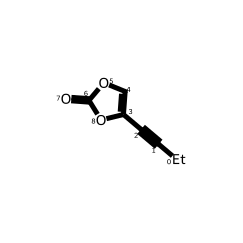 CCC#Cc1coc(=O)o1